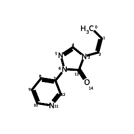 C/C=C\n1cnn(-c2cccnc2)c1=O